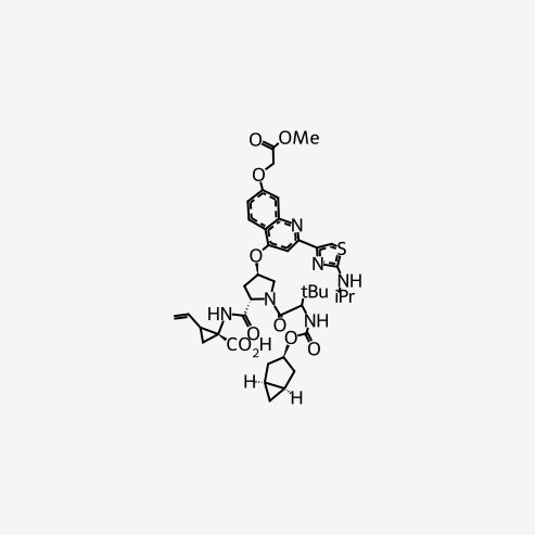 C=CC1C[C@]1(NC(=O)[C@@H]1C[C@@H](Oc2cc(-c3csc(NC(C)C)n3)nc3cc(OCC(=O)OC)ccc23)CN1C(=O)C(NC(=O)O[C@@H]1C[C@@H]2C[C@@H]2C1)C(C)(C)C)C(=O)O